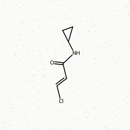 O=C(C=CCl)NC1CC1